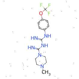 CN1CCN(C(=N)NC(=N)Nc2ccc(OC(F)(F)F)cc2)CC1